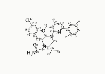 Cc1ccc(C)c(-c2nc(C)c(COc3cc(Cl)ccc3Cl)c(N3CCN(CC(N)=O)[C@@H](C(C)C)C3)n2)c1